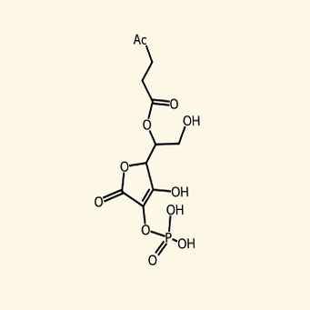 CC(=O)CCC(=O)OC(CO)C1OC(=O)C(OP(=O)(O)O)=C1O